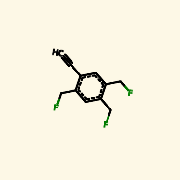 C#Cc1cc(CF)c(CF)cc1CF